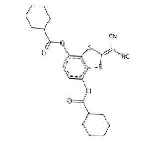 [C-]#[N+]C(C#N)=C1Sc2c(OC(=O)C3CCCCC3)ccc(OC(=O)C3CCCCC3)c2S1